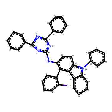 Ic1ccccc1-c1c(Nc2nc(-c3ccccc3)nc(-c3ccccc3)n2)ccc2c1c1ccccc1n2-c1ccccc1